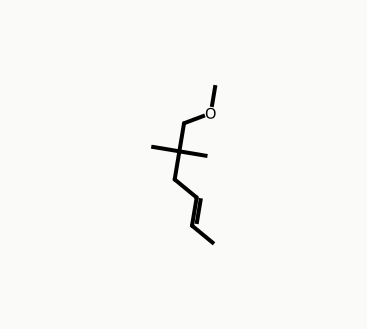 C/C=C/CC(C)(C)COC